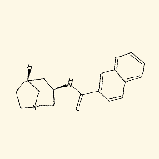 O=C(N[C@@H]1C[C@H]2CCN(C2)C1)c1ccc2ccccc2c1